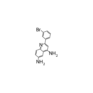 Nc1ccc2nc(-c3cccc(Br)c3)cc(N)c2c1